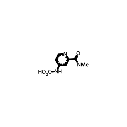 CNC(=O)c1cc(NC(=O)O)ccn1